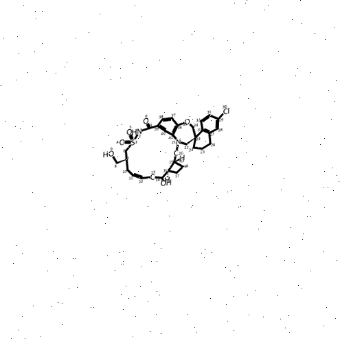 O=C1NS(=O)(=O)C[C@H](CO)C/C=C\C[C@H](O)[C@@H]2CC[C@H]2CN2C[C@@]3(CCCc4cc(Cl)ccc43)COc3ccc1cc32